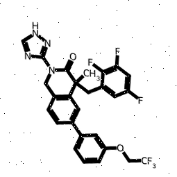 CC1(Cc2cc(F)cc(F)c2F)C(=O)N(c2nc[nH]n2)Cc2ccc(-c3cccc(OCC(F)(F)F)c3)cc21